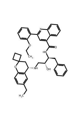 CCOc1ccccc1-c1cc(C(=O)N[C@@H](Cc2ccccc2)[C@H](O)CN[C@H]2CC3(CCC3)Oc3ccc(CC)cc32)c2ccccc2n1